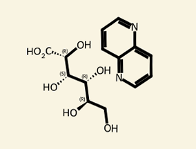 O=C(O)[C@H](O)[C@@H](O)[C@H](O)[C@H](O)CO.c1cnc2cccnc2c1